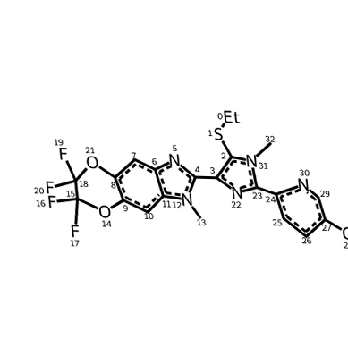 CCSc1c(-c2nc3cc4c(cc3n2C)OC(F)(F)C(F)(F)O4)nc(-c2ccc(Cl)cn2)n1C